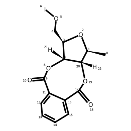 C[C@@H]1O[C@H](COI)[C@H]2OC(=O)c3ccccc3C(=O)O[C@H]21